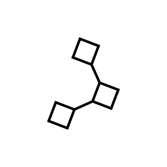 C1CC(C2CCC2C2CCC2)C1